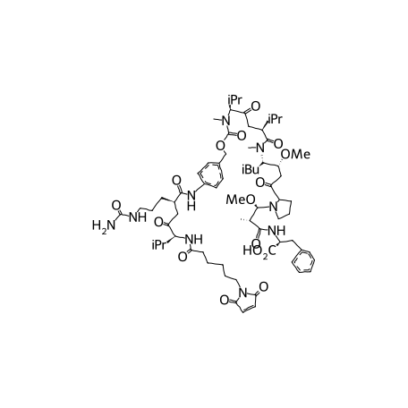 CC[C@H](C)[C@@H]([C@@H](CC(=O)C1CCCN1[C@H](OC)[C@@H](C)C(=O)N[C@@H](Cc1ccccc1)C(=O)O)OC)N(C)C(=O)[C@@H](CC(=O)[C@H](C(C)C)N(C)C(=O)OCc1ccc(NC(=O)[C@H](CCCNC(N)=O)CC(=O)[C@@H](NC(=O)CCCCCN2C(=O)C=CC2=O)C(C)C)cc1)C(C)C